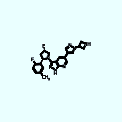 Cc1ccc(F)c([C@H]2C[C@H](F)CN2c2n[nH]c3ncc(-c4cnn(C5CNC5)c4)cc23)c1